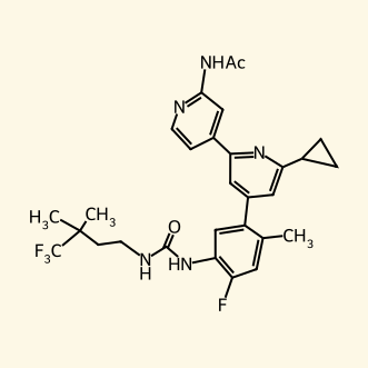 CC(=O)Nc1cc(-c2cc(-c3cc(NC(=O)NCCC(C)(C)C(F)(F)F)c(F)cc3C)cc(C3CC3)n2)ccn1